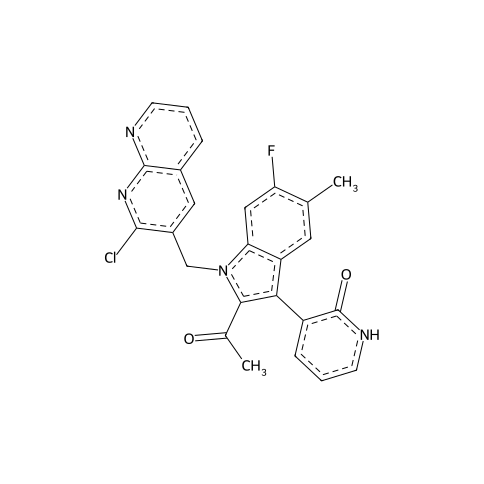 CC(=O)c1c(-c2ccc[nH]c2=O)c2cc(C)c(F)cc2n1Cc1cc2cccnc2nc1Cl